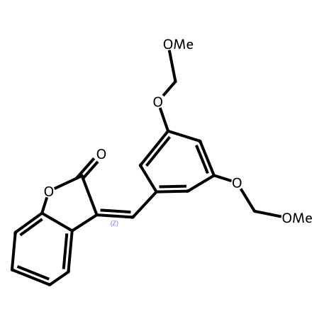 COCOc1cc(/C=C2\C(=O)Oc3ccccc32)cc(OCOC)c1